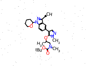 C#Cc1nn(C2CCCCO2)c2ccc(-c3cnn(C)c3OC(C)CN(C)C(=O)OC(C)(C)C)cc12